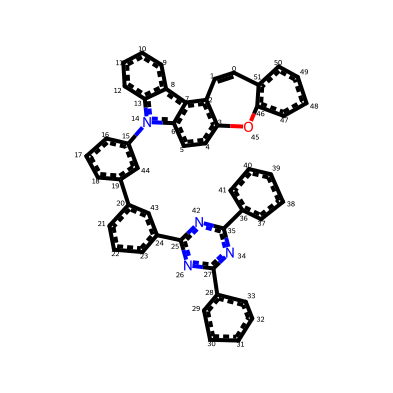 C1=Cc2c(ccc3c2c2ccccc2n3-c2cccc(-c3cccc(-c4nc(-c5ccccc5)nc(-c5ccccc5)n4)c3)c2)Oc2ccccc21